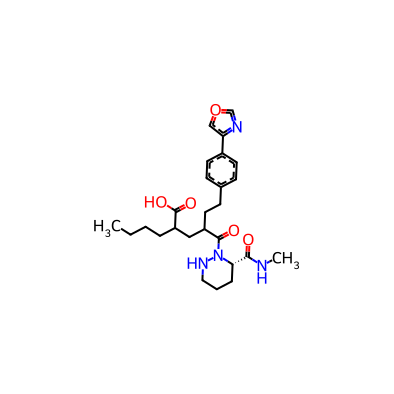 CCCCC(CC(CCc1ccc(-c2cocn2)cc1)C(=O)N1NCCC[C@H]1C(=O)NC)C(=O)O